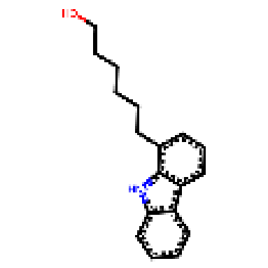 OCCCCCCc1cccc2c1[nH]c1ccccc12